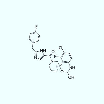 O=C(c1cnc(Cc2ccc(F)cc2)[nH]1)N1CCC[C@@]2(C1)OC(O)Nc1ccc(Cl)c(F)c12